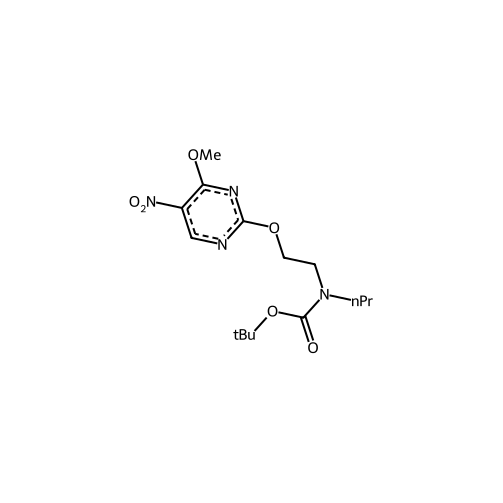 CCCN(CCOc1ncc([N+](=O)[O-])c(OC)n1)C(=O)OC(C)(C)C